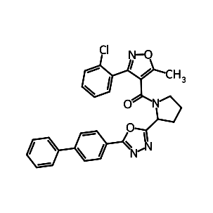 Cc1onc(-c2ccccc2Cl)c1C(=O)N1CCCC1c1nnc(-c2ccc(-c3ccccc3)cc2)o1